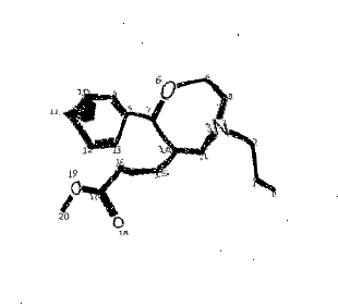 CCCN1CCOC(c2ccccc2)C(CCC(=O)OC)C1